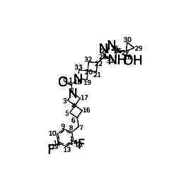 O=C(N1CC2(CC(Cc3ccc(F)cc3F)C2)C1)N1CC2(CC(c3nnc(C4(O)CC4)[nH]3)C2)C1